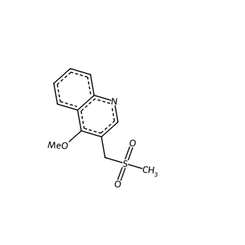 COc1c(CS(C)(=O)=O)cnc2ccccc12